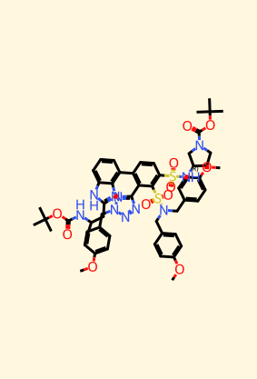 COc1ccc(CN(Cc2ccc(OC)cc2)S(=O)(=O)c2c(S(=O)(=O)N[C@@H]3CCN(C(=O)OC(C)(C)C)C3)ccc(-c3cccc4[nH]c(CC(C)NC(=O)OC(C)(C)C)nc34)c2-c2nnn(Cc3ccc(OC)cc3)n2)cc1